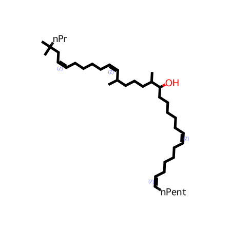 CCCCC/C=C\CCCC/C=C\CCCCCC(O)C(C)CCCC(C)/C=C\CCCC/C=C\CC(C)(C)CCC